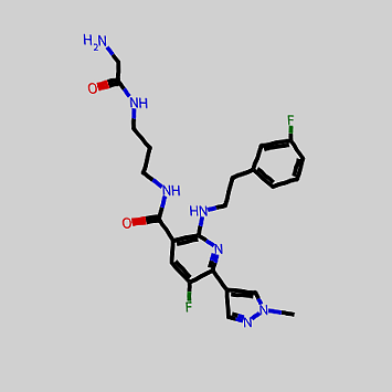 Cn1cc(-c2nc(NCCc3cccc(F)c3)c(C(=O)NCCCNC(=O)CN)cc2F)cn1